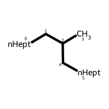 [CH2]CCCCCCCC(C)CCCCCCC[CH2]